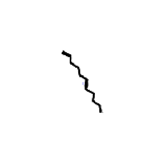 [CH2]CCC/C=C/CCCC=C